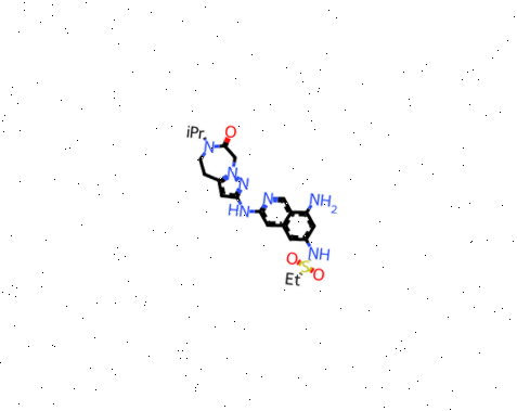 CCS(=O)(=O)Nc1cc(N)c2cnc(Nc3cc4n(n3)CC(=O)N(C(C)C)CC4)cc2c1